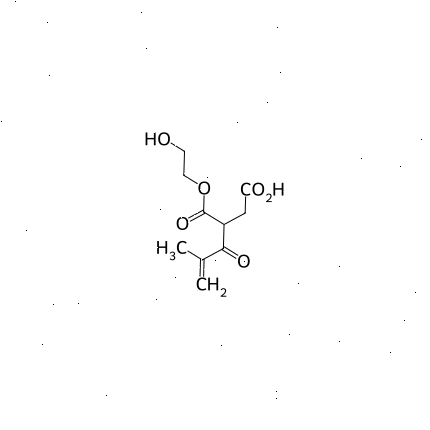 C=C(C)C(=O)C(CC(=O)O)C(=O)OCCO